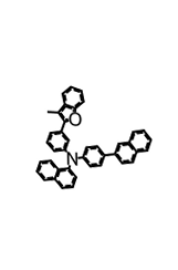 Cc1c(-c2cccc(N(c3ccc(-c4ccc5ccccc5c4)cc3)c3cccc4ccccc34)c2)oc2ccccc12